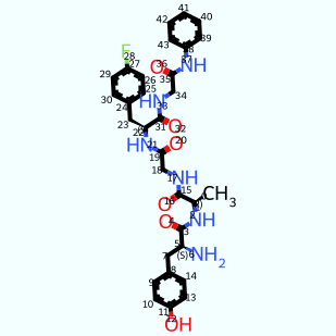 C[C@@H](NC(=O)[C@@H](N)Cc1ccc(O)cc1)C(=O)NCC(=O)N[C@@H](Cc1ccc(F)cc1)C(=O)NCC(=O)Nc1ccccc1